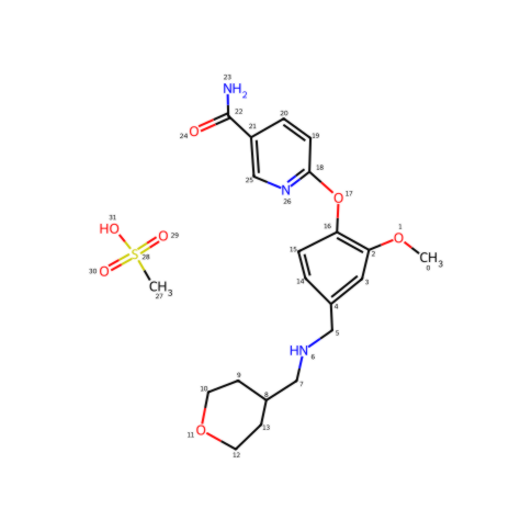 COc1cc(CNCC2CCOCC2)ccc1Oc1ccc(C(N)=O)cn1.CS(=O)(=O)O